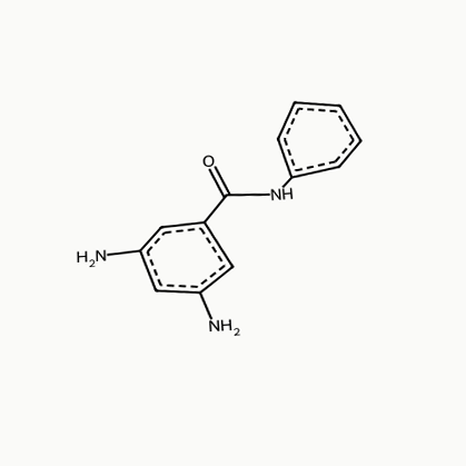 Nc1cc(N)cc(C(=O)Nc2ccccc2)c1